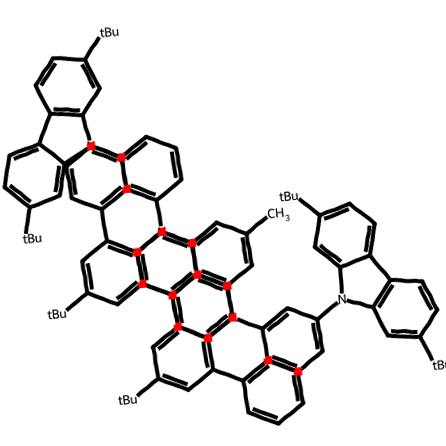 Cc1cc(N(c2cccc(-n3c4cc(C(C)(C)C)ccc4c4ccc(C(C)(C)C)cc43)c2)c2c(-c3ccccc3)cc(C(C)(C)C)cc2-c2ccccc2)cc(N(c2cccc(-n3c4cc(C(C)(C)C)ccc4c4ccc(C(C)(C)C)cc43)c2)c2c(-c3ccccc3)cc(C(C)(C)C)cc2-c2ccccc2)c1